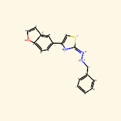 c1ccc(CNN=c2[nH]c(-c3ccc4occc4c3)cs2)cc1